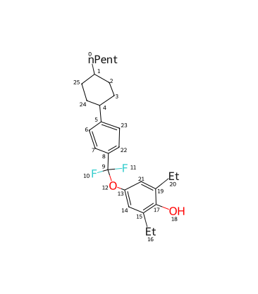 CCCCCC1CCC(c2ccc(C(F)(F)Oc3cc(CC)c(O)c(CC)c3)cc2)CC1